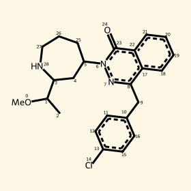 COC(C)C1CC(n2nc(Cc3ccc(Cl)cc3)c3ccccc3c2=O)CCCN1